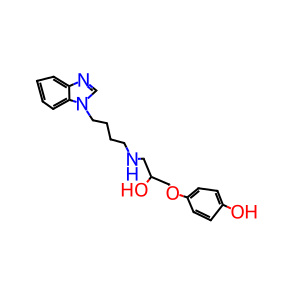 Oc1ccc(OCC(O)CNCCCCn2cnc3ccccc32)cc1